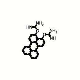 N=C(N)Oc1ccc2c3cccc4cccc(c5ccc(OC(=N)N)c1c25)c43